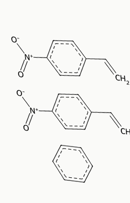 C=Cc1ccc([N+](=O)[O-])cc1.C=Cc1ccc([N+](=O)[O-])cc1.c1ccccc1